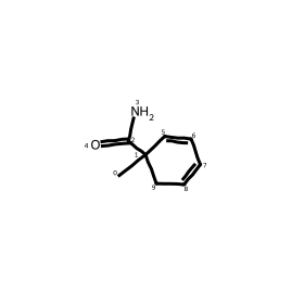 CC1(C(N)=O)C=CC=CC1